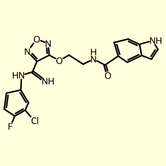 N=C(Nc1ccc(F)c(Cl)c1)c1nonc1OCCNC(=O)c1ccc2[nH]ccc2c1